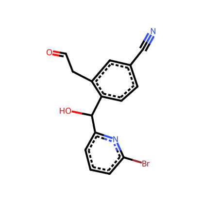 N#Cc1ccc(C(O)c2cccc(Br)n2)c(CC=O)c1